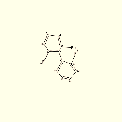 Fc1[c]ccc(F)c1-c1ccccc1F